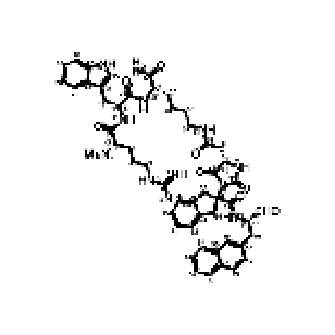 CN[C@@H](CCCNC(=N)N)C(=O)N[C@@H](Cc1c[nH]c2ccccc12)C(=O)N[C@@H](CCCCNC(=O)C[C@@H]1NC(=O)N(C2(C(=O)N[C@@H](C=O)Cc3ccc4ccccc4c3)Cc3ccccc3C2)C1=O)C(N)=O